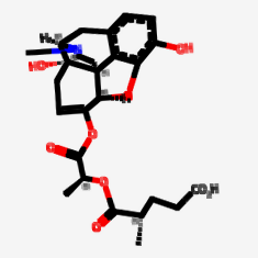 C[C@H](OC(=O)[C@@H](C)CCC(=O)O)C(=O)OC1=CC[C@@]2(O)[C@H]3Cc4ccc(O)c5c4[C@@]2(CCN3C)[C@H]1O5